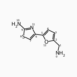 NCc1ccc(-c2csc(N)n2)o1